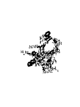 CCc1cccc2c(C[C@@H]3NC(=O)[C@H]([C@@H](C)O)NC(=O)[C@H](CC(N)=O)NC(=O)[C@@H](NC(C)=O)C(C)(C)SSC(C)(C)[C@@H](C(=O)N[C@@H](Cc4ccc(OCCN)cc4)C(=O)N[C@@H](Cc4ccc5ccccc5c4)C(=O)N[C@@](C)(CCCCN)C(=O)N[C@@H](CCCCNC(C)=O)C(=O)N[C@@H](CC(N)=O)C(=O)N[C@H](CC(C)C)C(N)=O)NC(=O)[C@H](CCCCNC(C)=O)NC3=O)c[nH]c12